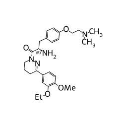 CCOc1cc(C2=NN(C(=O)[C@H](N)Cc3ccc(OCCN(C)C)cc3)CCC2)ccc1OC